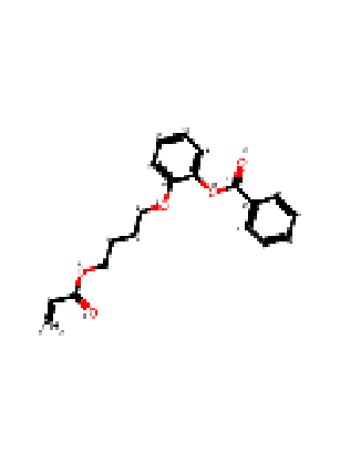 C=CC(=O)OCCCCOc1ccccc1OC(=O)c1ccccc1